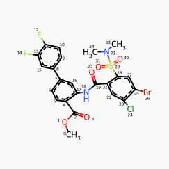 COC(=O)c1ccc(-c2ccc(F)c(F)c2)cc1NC(=O)c1cc(Cl)c(Br)cc1S(=O)(=O)N(C)C